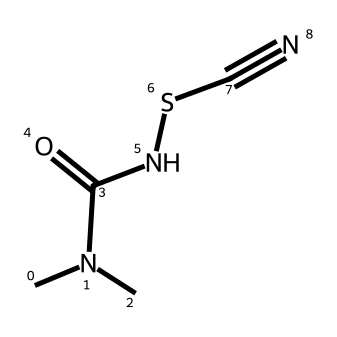 CN(C)C(=O)NSC#N